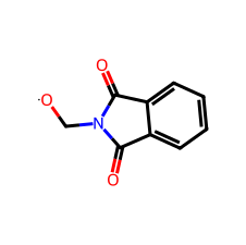 [O]CN1C(=O)c2ccccc2C1=O